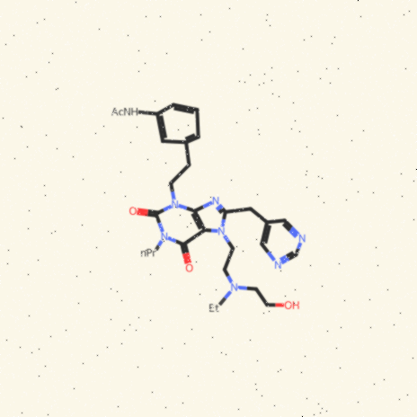 CCCn1c(=O)c2c(nc(Cc3cncnc3)n2CCN(CC)CCO)n(CCc2cccc(NC(C)=O)c2)c1=O